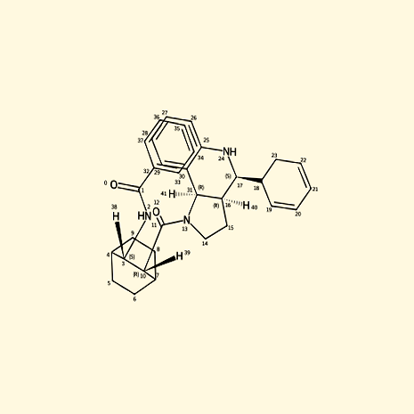 O=C(N[C@H]1C2CCC(CC2)[C@H]1C(=O)N1CC[C@@H]2[C@H](C3C=CC=CC3)Nc3ccccc3[C@@H]21)c1ccccc1